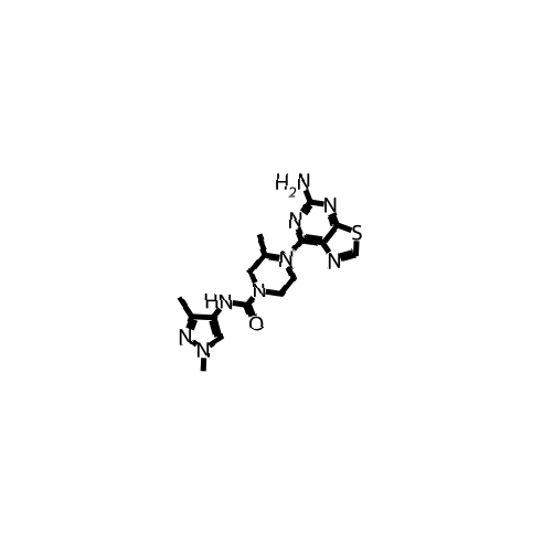 Cc1nn(C)cc1NC(=O)N1CCN(c2nc(N)nc3scnc23)C(C)C1